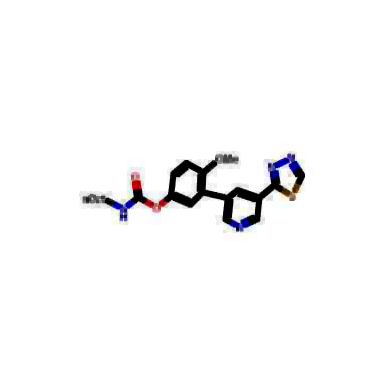 CCCCCCCCNC(=O)Oc1ccc(OC)c(-c2cncc(-c3nncs3)c2)c1